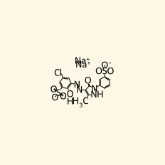 Cc1[nH]n(-c2cccc(S(=O)(=O)[O-])c2)c(=O)c1N=Nc1cc(Cl)cc(S(=O)(=O)[O-])c1O.[Na+].[Na+]